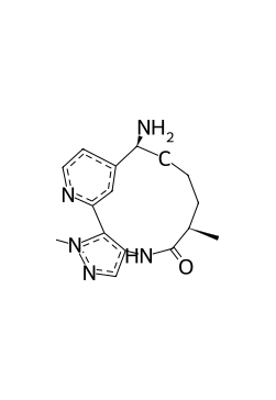 C[C@@H]1CCC[C@H](N)c2ccnc(c2)-c2c(cnn2C)NC1=O